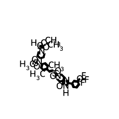 Cc1cc(N(C2CCN(C(=O)OC(C)(C)C)CC2)S(C)(=O)=O)cc(C)c1/C=C/S(=O)(=O)N1CCC2(CC1)N=C(c1cccc(OC(F)(F)F)c1)NC2=O